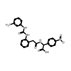 Cc1cccc(NC(=O)Nc2ccccc2CC(=O)NC(C(=O)O)c2ccc([N+](=O)[O-])cc2)c1